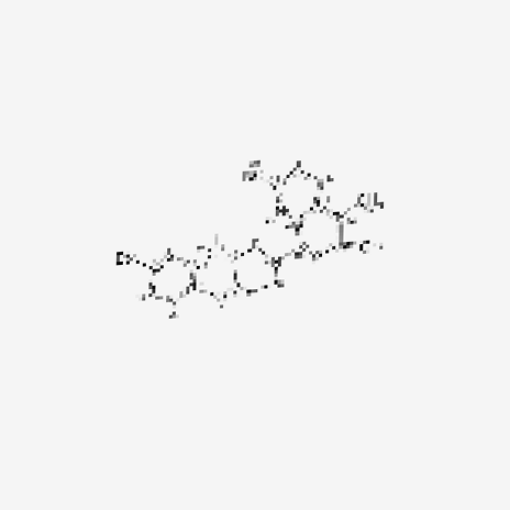 CCc1cnc(O[C@H]2CCN(c3cc(=O)n(C)c4ccc(C#N)nc34)C[C@H]2C)nc1